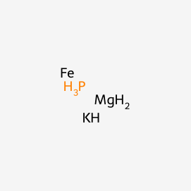 P.[Fe].[KH].[MgH2]